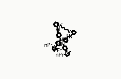 CCCc1ccc(C)n1-c1ccc(Nc2ccc(N=Nc3cccc[n+]3CCCCCC[n+]3ccccc3N=Nc3ccc(Nc4ccc(-n5c(CC)ccc5CCC)cc4)cc3)cc2)cc1